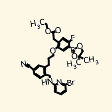 CCOC(=O)Cc1cc(F)c(B2OCC(C)(C)O2)cc1OCCCc1cc(C#N)ccc1CNc1cccc(Br)n1